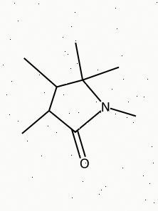 CC1C(=O)N(C)C(C)(C)C1C